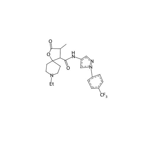 CCN1CCC2(CC1)OC(=O)C(C)C2C(=O)Nc1cnn(-c2ccc(C(F)(F)F)cc2)c1